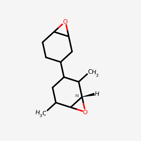 CC1CC(C2CCC3OC3C2)C(C)[C@@H]2OC12